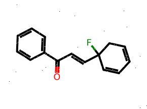 O=C(C=CC1(F)C=CC=CC1)c1ccccc1